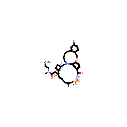 COCCN(C)C(=O)C[C@@]1(O)/C=C/C[C@H](C)[C@@H](C)S(=O)(=O)NC(=O)c2ccc3c(c2)N(CCCCc2cc(Cl)ccc2CO3)C[C@@H]2CC[C@H]21